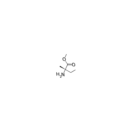 CC[C@](C)(N)C(=O)OC